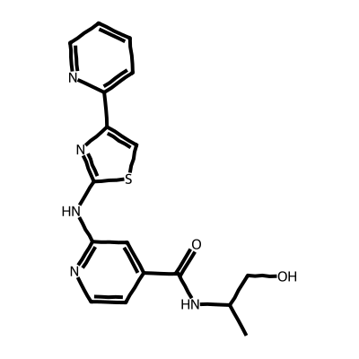 CC(CO)NC(=O)c1ccnc(Nc2nc(-c3ccccn3)cs2)c1